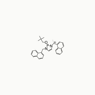 C[C@H](c1cccc2ccccc12)N1C=CN(Cc2cccc3ccccc23)P1OCC(C)(C)C